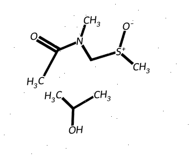 CC(=O)N(C)C[S+](C)[O-].CC(C)O